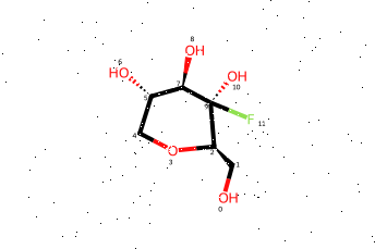 OC[C@H]1OC[C@H](O)[C@@H](O)[C@@]1(O)F